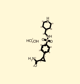 Cl.Cl.NC(=O)C1CC1c1ccc(S(=O)(=O)NCC2CCNCC2)cc1